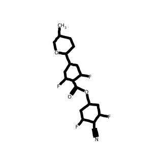 CC1CCC(C2CC(F)C(C(=O)OC3CC(F)C(C#N)C(F)C3)C(F)C2)OC1